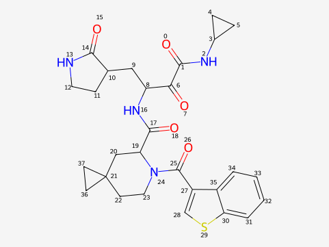 O=C(NC1CC1)C(=O)C(CC1CCNC1=O)NC(=O)C1CC2(CCN1C(=O)c1csc3ccccc13)CC2